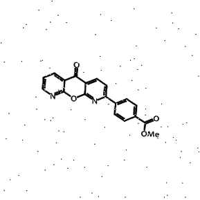 COC(=O)c1ccc(-c2ccc3c(=O)c4cccnc4oc3n2)cc1